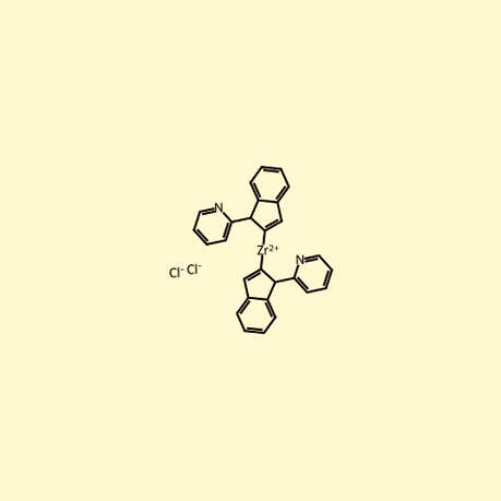 C1=[C]([Zr+2][C]2=Cc3ccccc3C2c2ccccn2)C(c2ccccn2)c2ccccc21.[Cl-].[Cl-]